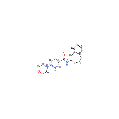 O=C(NC1CCCc2ccccc2C1)c1ccc(N2CCOCC2)nc1